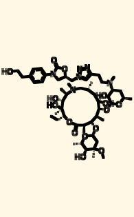 CC[C@H]1OC(=O)[C@H](C)[C@@H](O[C@H]2C[C@@](C)(OC)[C@@H](O)[C@H](C)O2)[C@H](C)[C@@H](O[C@@H]2O[C@H](C)C[C@H](N(C)CCc3cn(C[C@H]4CN(c5ccc(CCO)cc5)C(=O)O4)nn3)[C@H]2O)[C@](C)(O)C[C@@H](C)CN(C)[C@H](C)[C@@H](O)[C@]1(C)O